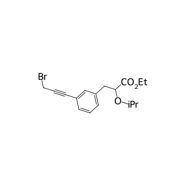 CCOC(=O)C(Cc1cccc(C#CCBr)c1)OC(C)C